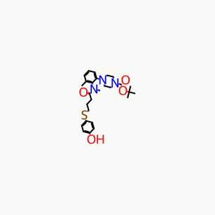 Cc1cccc(N2CCN(C(=O)OC(C)(C)C)CC2)c1N(C)C(=O)CCCSc1ccc(O)cc1